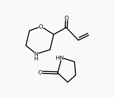 C=CC(=O)C1CNCCO1.O=C1CCCN1